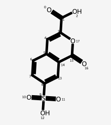 O=C(O)c1cc2ccc(S(=O)(=O)O)cc2c(=O)o1